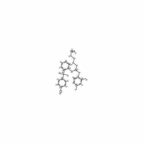 Cc1cnc(CN(CCCCN)Cc2ncccc2C(C)(C)c2ccc(Cl)cc2)c(C)c1